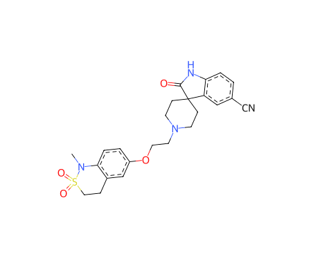 CN1c2ccc(OCCN3CCC4(CC3)C(=O)Nc3ccc(C#N)cc34)cc2CCS1(=O)=O